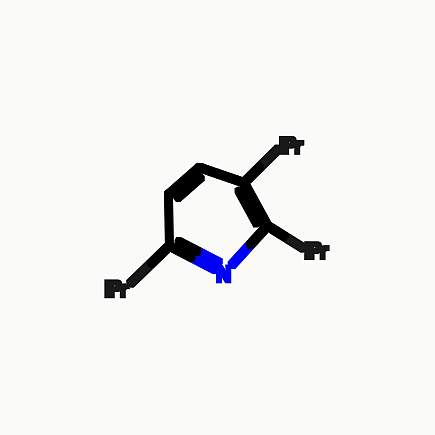 CC(C)c1ccc(C(C)C)c(C(C)C)n1